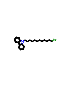 BrCCCCCCCCCCCCn1c2ccccc2c2ccccc21